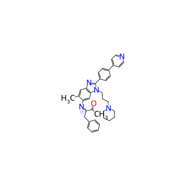 CC(=O)/C(Cc1ccccc1)=N\c1cc2c(cc1C)nc(-c1ccc(-c3ccncc3)cc1)n2CCCN1CCCCC1